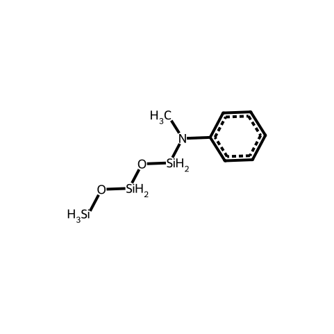 CN([SiH2]O[SiH2]O[SiH3])c1ccccc1